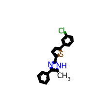 Cc1[nH]c(-c2ccc(-c3cccc(Cl)c3)s2)nc1-c1ccccc1